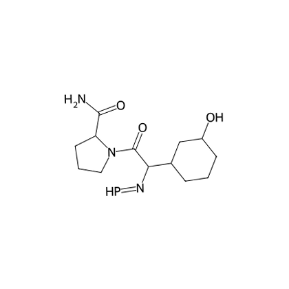 NC(=O)C1CCCN1C(=O)C(N=P)C1CCCC(O)C1